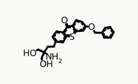 NC(CO)(CO)CCc1ccc2c(=O)c3ccc(OCc4ccccc4)cc3sc2c1